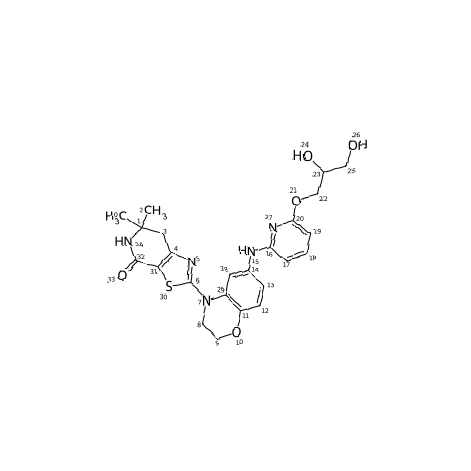 CC1(C)Cc2nc(N3CCOc4ccc(Nc5cccc(OCC(O)CO)n5)cc43)sc2C(=O)N1